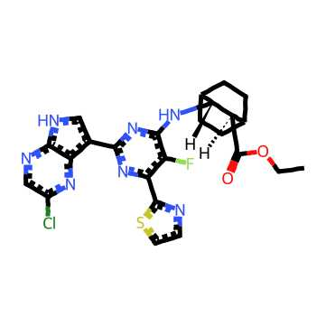 CCOC(=O)[C@@H]1C2CCC(CC2)[C@H]1Nc1nc(-c2c[nH]c3ncc(Cl)nc23)nc(-c2nccs2)c1F